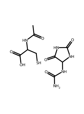 CC(=O)NC(CS)C(=O)O.NC(=O)NC1NC(=O)NC1=O